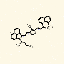 C=C(/C=C/C1=C(Cl)C(=C/C=c2\c3cccc4cccc(c43)n2C(C)CCC)/CC1)c1cccc2cccc(C)c12